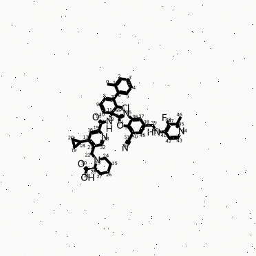 Cc1ccccc1C1=CC=CC(NC(=O)c2cc(C3CC3)c(CN3CCCC[C@H]3C(=O)O)cn2)(c2nc3cc(CNc4ccnc(C)c4F)cc(C#N)c3o2)C1Cl